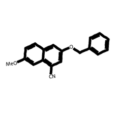 COc1ccc2cc(OCc3ccccc3)cc(C#N)c2c1